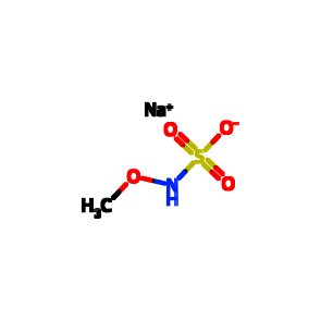 CONS(=O)(=O)[O-].[Na+]